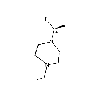 CCN1CCN([C@H](C)F)CC1